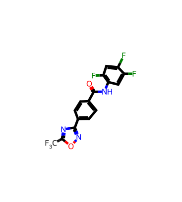 O=C(Nc1cc(F)c(F)cc1F)c1ccc(-c2noc(C(F)(F)F)n2)cc1